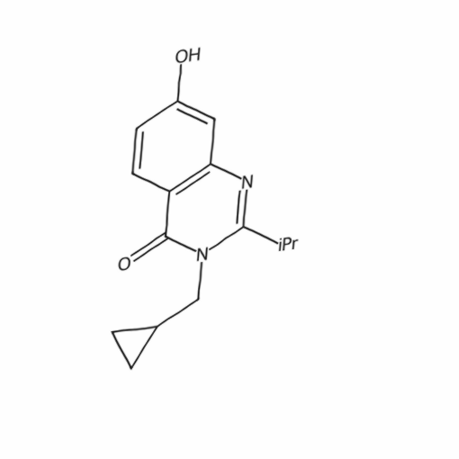 CC(C)c1nc2cc(O)ccc2c(=O)n1CC1CC1